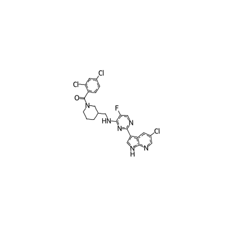 O=C(c1ccc(Cl)cc1Cl)N1CCCC(CNc2nc(-c3c[nH]c4ncc(Cl)cc34)ncc2F)C1